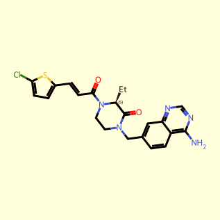 CC[C@H]1C(=O)N(Cc2ccc3c(N)ncnc3c2)CCN1C(=O)C=Cc1ccc(Cl)s1